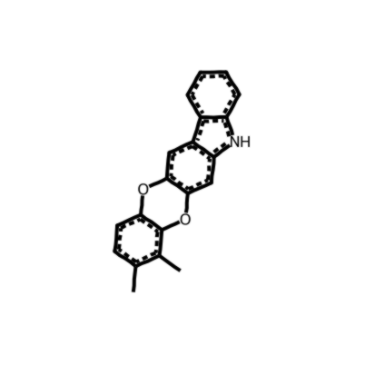 Cc1ccc2c(c1C)Oc1cc3[nH]c4ccccc4c3cc1O2